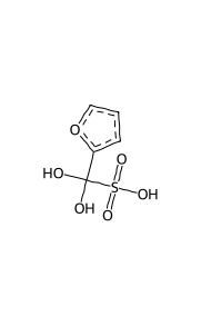 O=S(=O)(O)C(O)(O)c1ccco1